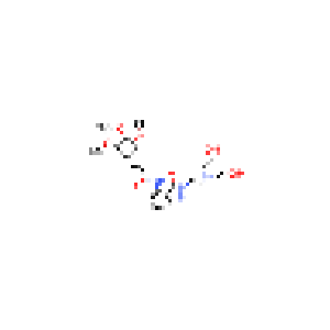 COc1cc(C=CC(=O)Nc2ccccc2C(=O)NCCN(CCO)CCO)cc(OC)c1OC